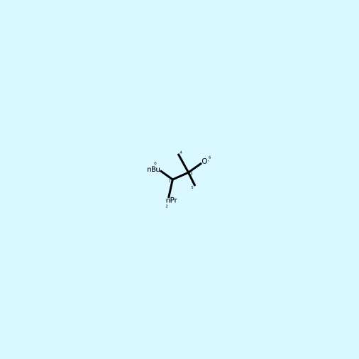 CCCCC(CCC)C(C)(C)[O]